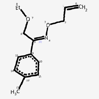 C=CCO/N=C(\COCC)c1ccc(C)cc1